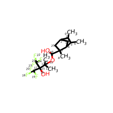 CC1C2CC(C1C)C(C)(C(O)OC(C)(C)C(O)(C(F)(F)F)C(F)(F)F)C2